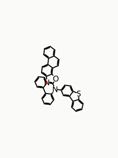 c1ccc(-c2ccccc2N(c2ccc3sc4ccccc4c3c2)c2nc3ccc4c5ccccc5ccc4c3o2)cc1